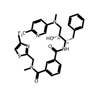 Cc1csc(CN(C)C(=O)c2cccc(C(=O)N[C@@H](Cc3ccccc3)[C@H](O)CN(C)c3ccc(C(F)(F)F)nc3)c2)n1